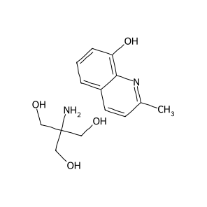 Cc1ccc2cccc(O)c2n1.NC(CO)(CO)CO